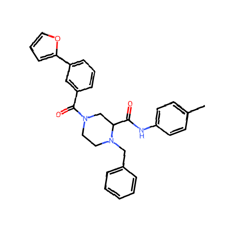 Cc1ccc(NC(=O)C2CN(C(=O)c3cccc(-c4ccco4)c3)CCN2Cc2ccccc2)cc1